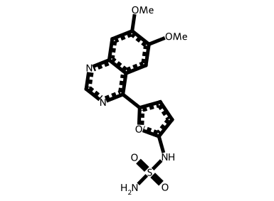 COc1cc2ncnc(-c3ccc(NS(N)(=O)=O)o3)c2cc1OC